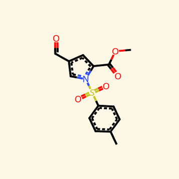 COC(=O)c1cc(C=O)cn1S(=O)(=O)c1ccc(C)cc1